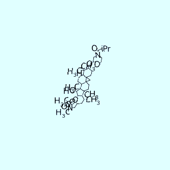 CC(C)C(=O)N1CCO[C@@H](OC2CCC34CC35CCC3(C)C6C(OC(CN(C)S(C)(=O)=O)C[C@H]6C)[C@H](O)[C@@]3(C)C5CC[C@H]4C2(C)C)C1